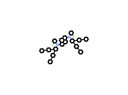 Fc1c(N(c2ccccc2)c2ccc3ccc4c(N(c5ccccc5)c5ccc(-c6ccc(-c7ccccc7)cc6)c(-c6ccc(-c7ccccc7)cc6)c5F)ccc5ccc2c3c54)ccc(-c2ccc(-c3ccccc3)cc2)c1-c1ccc(-c2ccccc2)cc1